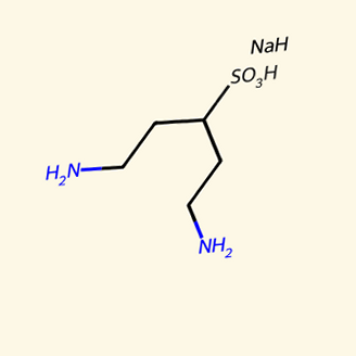 NCCC(CCN)S(=O)(=O)O.[NaH]